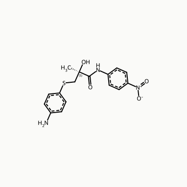 C[C@@](O)(CSc1ccc(N)cc1)C(=O)Nc1ccc([N+](=O)[O-])cc1